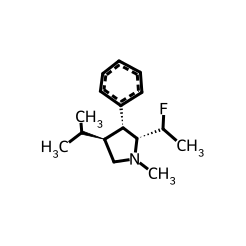 CC(C)[C@@H]1CN(C)[C@@H](C(C)F)[C@H]1c1ccccc1